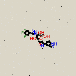 OC[C@H]1O[C@H](CC2CC(c3ccc4[nH]ncc4c3)=NO2)[C@H](O)[C@@H](n2cc(-c3cc(F)c(F)c(F)c3)nn2)[C@H]1O